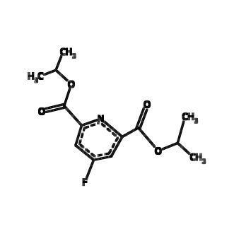 CC(C)OC(=O)c1cc(F)cc(C(=O)OC(C)C)n1